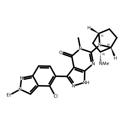 CCn1cc2c(Cl)c(-c3n[nH]c4nc(N5[C@H]6CC[C@@H]5[C@H](NC)C6)n(C)c(=O)c34)ccc2n1